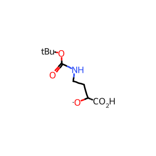 CC(C)(C)OC(=O)NCCC([O])C(=O)O